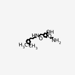 Cc1ccc(CCCCNC(=O)Cc2ccc(OCCN)c(O)c2)cc1C